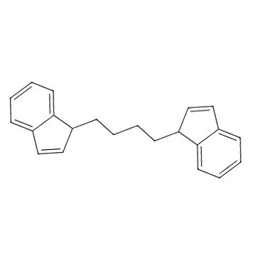 C1=CC(CCCCC2C=Cc3ccccc32)c2ccccc21